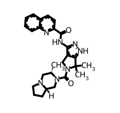 C[C@H]1CN2CCC[C@H]2CN1C(=O)N1Cc2c(NC(=O)c3ccc4ccccc4n3)n[nH]c2C1(C)C